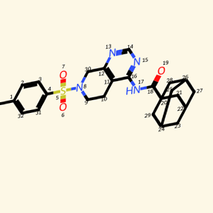 Cc1ccc(S(=O)(=O)N2CCc3c(ncnc3NC(=O)C34CC5CC(CC(C5)C3)C4)C2)cc1